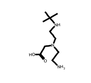 CC(C)(C)NCCN(CCN)CC(=O)O